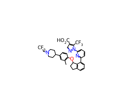 Cc1cc(C2CCN(CC(F)(F)F)CC2)ccc1OC1CCc2cccc(-c3cccc(-n4ncc(C(=O)O)c4C(F)(F)F)n3)c21